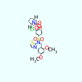 COc1ccc(CN(c2nccs2)S(=O)(=O)c2ccc(O[C@H]3C[C@H]4CC[C@@H](C3)N4C(=O)O)c(Cl)c2)c(OC)c1